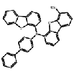 CC(C)(C)c1cccc2c1oc1c(N(c3ccc(-c4ccccc4)cc3)c3cccc4c3sc3ccccc34)cccc12